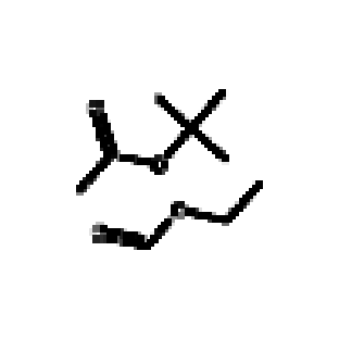 CC(=O)OC(C)(C)C.CCOC=O